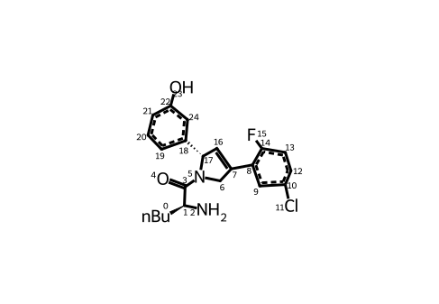 CCCC[C@H](N)C(=O)N1CC(c2cc(Cl)ccc2F)=C[C@H]1c1cccc(O)c1